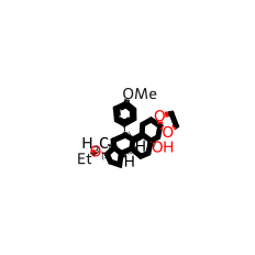 CCO[C@H]1CC[C@H]2[C@@H]3CC[C@@]4(O)CC5(CCC4=C3[C@@H](c3ccc(OC)cc3)C[C@]12C)OCCO5